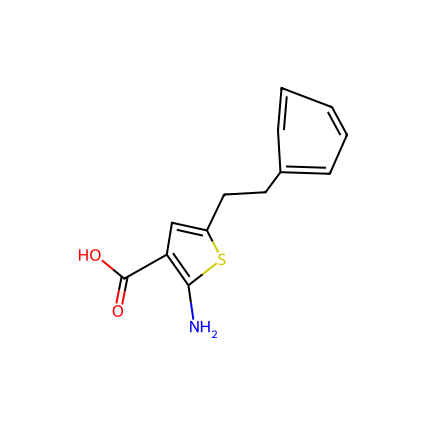 Nc1sc(CCc2ccccc2)cc1C(=O)O